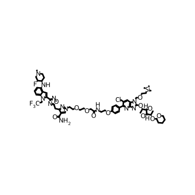 CN1CC[C@@H](Nc2cccc3c2cc(-c2noc(Cc4nn(CCOCCOCC(=O)NCCOc5ccc(-c6nc7nc(O[C@@H]8CO[C@H]9[C@@H]8OC[C@H]9OC8CCCCO8)n(COCC[Si](C)(C)C)c7cc6Cl)cc5)cc4C(N)=O)n2)n3CC(F)(F)F)[C@@H](F)C1